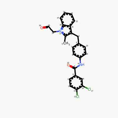 Cc1c(Cc2ccc(NC(=O)c3ccc(Cl)c(Cl)c3)cc2)c2ccccc2n1CC=O